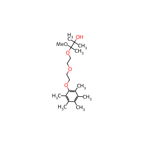 COC(C)(OCCOCCOc1c(C)c(C)c(C)c(C)c1C)C(C)(C)O